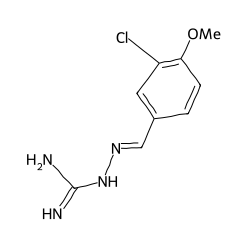 COc1ccc(C=NNC(=N)N)cc1Cl